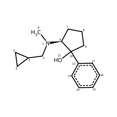 CN(CC1CC1)[C@H]1CCCC1(O)c1ccccc1